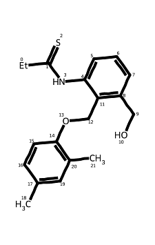 CCC(=S)Nc1cccc(CO)c1COc1ccc(C)cc1C